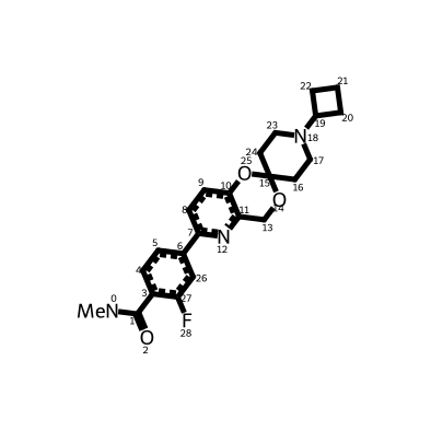 CNC(=O)c1ccc(-c2ccc3c(n2)COC2(CCN(C4CCC4)CC2)O3)cc1F